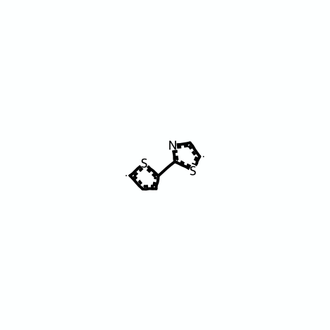 [c]1ccc(-c2nc[c]s2)s1